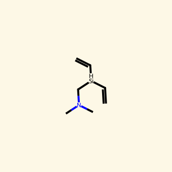 C=C[SiH](C=C)CN(C)C